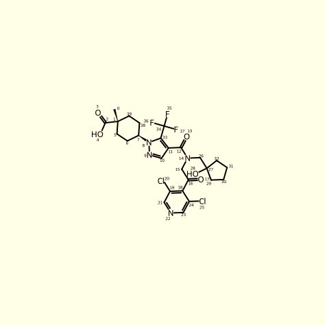 C[C@]1(C(=O)O)CC[C@H](n2ncc(C(=O)N(CC(=O)c3c(Cl)cncc3Cl)CC3(O)CCCC3)c2C(F)(F)F)CC1